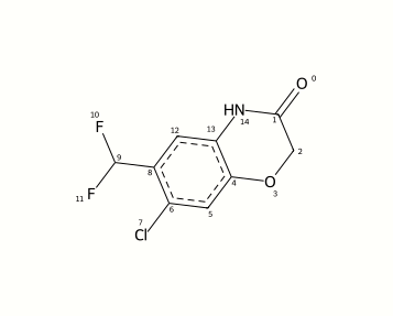 O=C1COc2cc(Cl)c(C(F)F)cc2N1